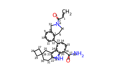 C=CC(=O)N1CCc2c(cccc2-c2ccc(C(N)=O)c3[nH]c4c(c23)CC2(CCC2)CC4)C1